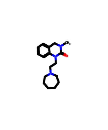 CN1Cc2ccccc2N(CCN2CCCCCC2)C1=O